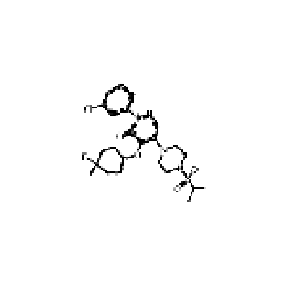 CC(C)S(=O)(=O)N1CCN(c2cnn(-c3cccc(Cl)c3)c(=O)c2OC2CCC(C)(F)CC2)CC1